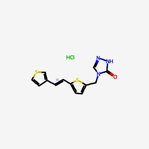 Cl.O=c1[nH]ncn1Cc1ccc(/C=C/c2ccsc2)s1